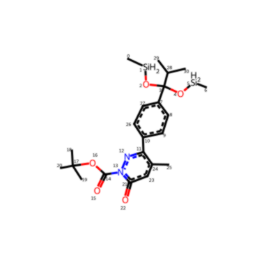 C[SiH2]OC(O[SiH2]C)(c1ccc(-c2nn(C(=O)OC(C)(C)C)c(=O)cc2C)cc1)C(C)C